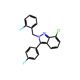 Fc1ccc(-c2c3cccc(Cl)c3nn2Cc2ccccc2F)cc1